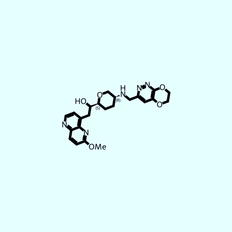 COc1ccc2nccc(CC(O)[C@@H]3CC[C@@H](NCc4cc5c(nn4)OCCO5)CO3)c2n1